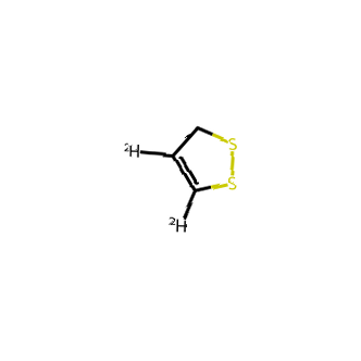 [2H]C1=C([2H])SSC1